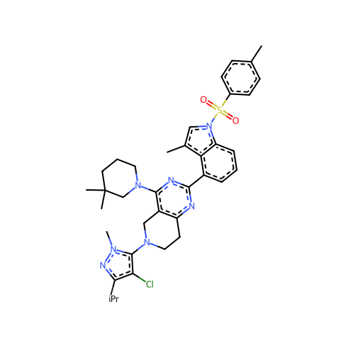 Cc1ccc(S(=O)(=O)n2cc(C)c3c(-c4nc5c(c(N6CCCC(C)(C)C6)n4)CN(c4c(Cl)c(C(C)C)nn4C)CC5)cccc32)cc1